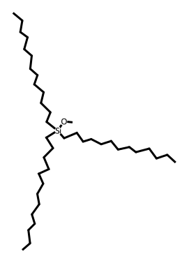 CCCCCCCCCCCCC[Si](CCCCCCCCCCCCC)(CCCCCCCCCCCCC)OC